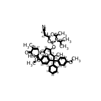 COc1ccc(C(c2ccccc2)(c2ccc(OC)cc2)[C@H](C)[C@@H]2O[C@@H](n3cc(C)c(=O)[nH]c3=O)C[C@H]2OP(OCCC#N)N(C(C)C)C(C)C)cc1